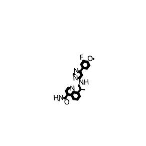 CNC(=O)c1ccnc2c([C@H](C)CNc3cc(-c4ccc(OC)c(F)c4)ncn3)cccc12